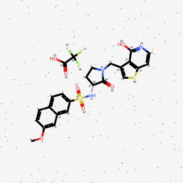 COc1ccc2ccc(S(=O)(=O)N[C@@H]3CCN(Cc4csc5ccnc(O)c45)C3=O)cc2c1.O=C(O)C(F)(F)F